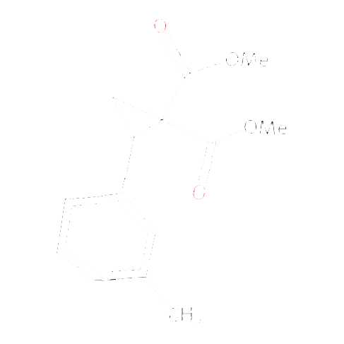 COC(=O)C1(C(=O)OC)CC1c1cccc(C)c1